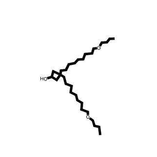 CCCCOCCCCCCCCCC1(CCCCCCCCCOCCCC)CC(O)C1